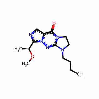 CCCCN1CCn2c1nn1c([C@H](C)OC)ncc1c2=O